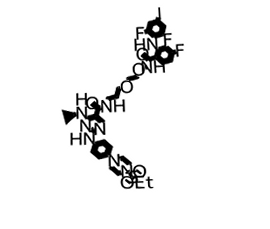 CCS(=O)(=O)N1CCN(c2ccc(Nc3ncc(C(=O)NCCCOCCONC(=O)c4ccc(F)c(F)c4Nc4ccc(I)cc4F)c(NC4CC4)n3)cc2)CC1